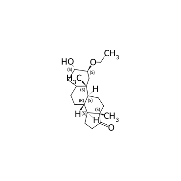 CCO[C@H]1C[C@@]2(C)C(CC[C@@H]3[C@@H]2CC[C@]2(C)C(=O)CC[C@@H]32)C[C@@H]1O